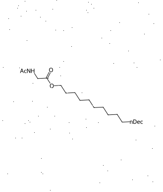 CCCCCCCCCCCCCCCCCCCCOC(=O)CNC(C)=O